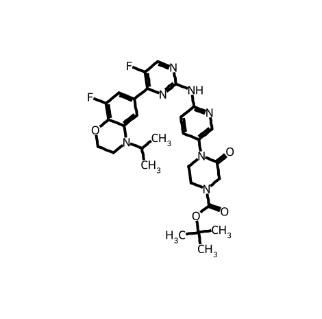 CC(C)N1CCOc2c(F)cc(-c3nc(Nc4ccc(N5CCN(C(=O)OC(C)(C)C)CC5=O)cn4)ncc3F)cc21